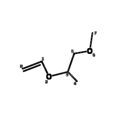 C=COC(C)COC